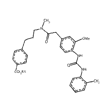 CCOC(=O)c1ccc(CCCN(C)C(=O)Cc2ccc(NC(=O)Nc3ccccc3C)c(OC)c2)cc1